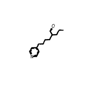 CCCC(C=O)CCCCc1ccncc1